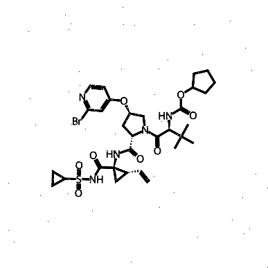 C=C[C@@H]1C[C@]1(NC(=O)[C@@H]1C[C@@H](Oc2ccnc(Br)c2)CN1C(=O)[C@@H](NC(=O)OC1CCCC1)C(C)(C)C)C(=O)NS(=O)(=O)C1CC1